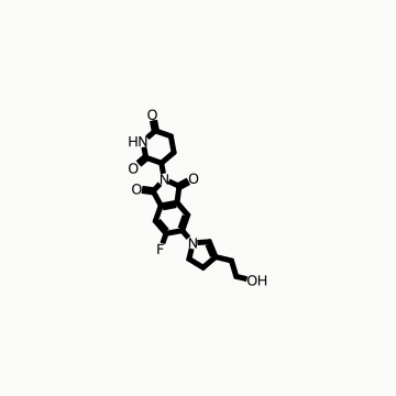 O=C1CCC(N2C(=O)c3cc(F)c(N4C=C(CCO)CC4)cc3C2=O)C(=O)N1